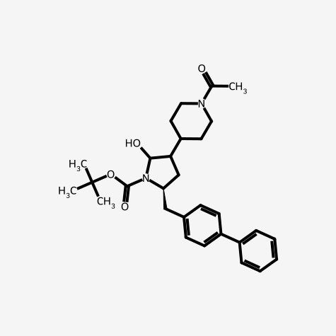 CC(=O)N1CCC(C2C[C@@H](Cc3ccc(-c4ccccc4)cc3)N(C(=O)OC(C)(C)C)C2O)CC1